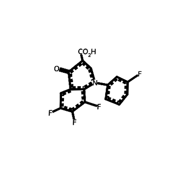 O=C(O)c1cn(-c2cccc(F)c2)c2c(F)c(F)c(F)cc2c1=O